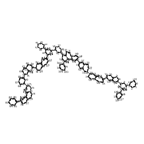 c1ccc(-c2cc(-c3ccc4ccc(-c5ccc6ccc(-c7ccc8cc(-c9ccc%10ccc%11c(-c%12cccc(-c%13nc(-c%14ccccc%14)cc(-c%14ccc%15ccc(-c%16ccc%17ccc(-c%18cccc(-c%19ccc%20ccc%21ccc(-c%22ccccc%22)nc%21c%20n%19)c%18)cc%17n%16)cc%15n%14)n%13)c%12)cc(-c%12ccccc%12)nc%11c%10n9)ccc8c7)cc6n5)cc4n3)nc(-c3ccccc3)n2)cc1